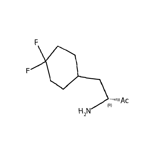 CC(=O)[C@H](N)CC1CCC(F)(F)CC1